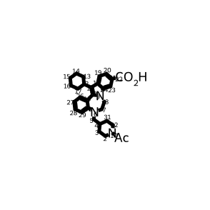 CC(=O)N1CCC(CN2CCn3c(c(C4CCCCC4)c4ccc(C(=O)O)cc43)-c3ccccc32)CC1